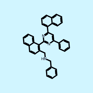 c1ccc(CNCc2ccc3ccccc3c2-c2nc(-c3ccccc3)cc(-c3cccc4ccccc34)n2)cc1